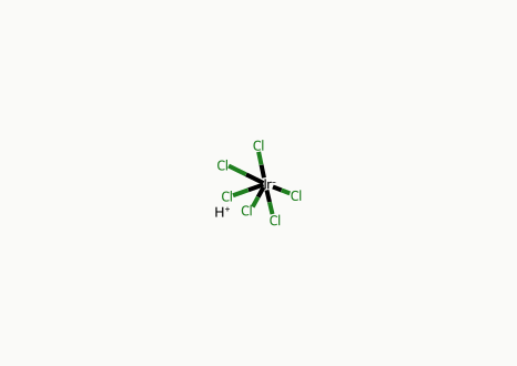 [Cl][Ir-]([Cl])([Cl])([Cl])([Cl])[Cl].[H+]